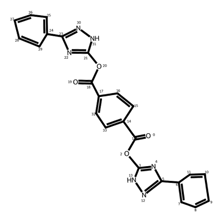 O=C(Oc1nc(-c2ccccc2)n[nH]1)c1ccc(C(=O)Oc2nc(-c3ccccc3)n[nH]2)cc1